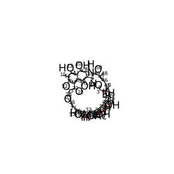 C=C(CC)CO/N=C/c1c2c(O)c3c(O)c(C)c4c(c3c1O)C(=O)[C@@](C)(O/C=C/[C@H](OC)[C@@H](C)[C@@H](OC(C)=O)[C@H](C)[C@H](O)[C@H](C)[C@@H](O)[C@@H](C)/C=C/C=C(/C)C(=O)N2)O4